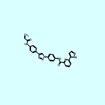 C=CC(=O)Nc1ccc(-c2cn(-c3ccc(NC(=O)c4cccc(-c5ccn[nH]5)n4)cc3)nn2)cc1